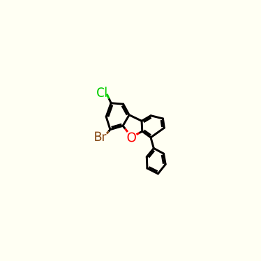 Clc1cc(Br)c2oc3c(-c4ccccc4)cccc3c2c1